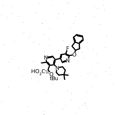 Cc1ncc(-c2cnc(OC3Cc4ccccc4C3)c(F)c2)c(N2CCC(C)(C)CC2)c1[C@H](OC(C)(C)C)C(=O)O